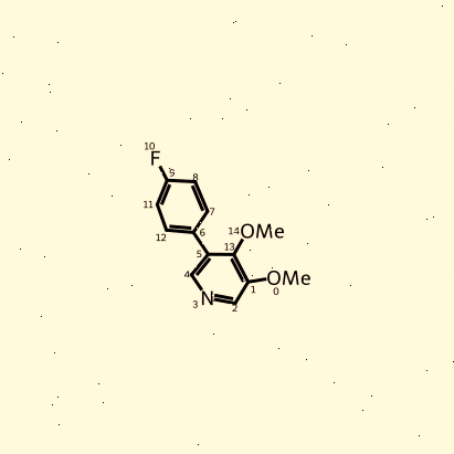 COc1cncc(-c2ccc(F)cc2)c1OC